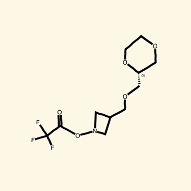 O=C(ON1CC(COC[C@H]2COCCO2)C1)C(F)(F)F